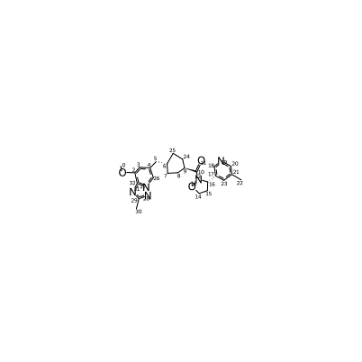 COc1cc(C[C@H]2CC[C@H](C(=O)N3OCC[C@H]3c3cncc(C)c3)CC2)cn2nc(C)nc12